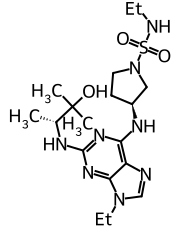 CCNS(=O)(=O)N1CC[C@H](Nc2nc(N[C@H](C)C(C)(C)O)nc3c2ncn3CC)C1